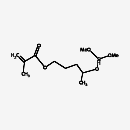 C=C(C)C(=O)OCCCC(C)O[SiH](OC)OC